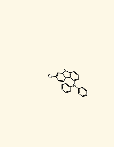 ClC1=CC2Sc3cccc(N(c4ccccc4)c4ccccc4)c3C2C=C1